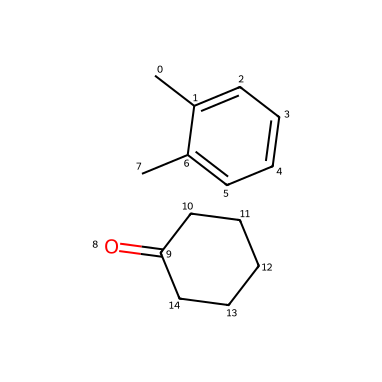 Cc1ccccc1C.O=C1CCCCC1